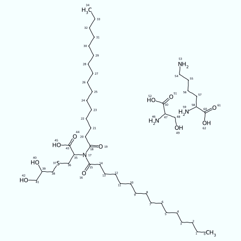 CCCCCCCCCCCCCCCC(=O)N(C(=O)CCCCCCCCCCCCCCC)C(CSCC(O)CO)C(=O)O.NC(CO)C(=O)O.NCCCCC(N)C(=O)O